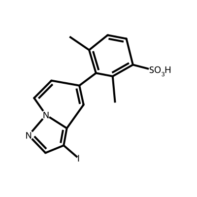 Cc1ccc(S(=O)(=O)O)c(C)c1-c1ccn2ncc(I)c2c1